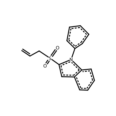 C=CCS(=O)(=O)c1cc2ccccc2n1-c1ccccc1